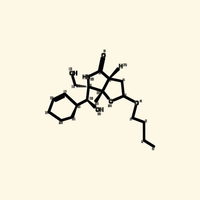 CCCCOC1C[C@H]2C(=O)N[C@](CO)([C@@H](O)[C@@H]3C=CCCC3)[C@@]2(C)O1